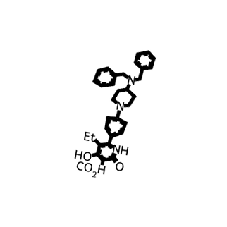 CCc1c(-c2ccc(N3CCC(N(Cc4ccccc4)Cc4ccccc4)CC3)cc2)[nH]c(=O)c(C(=O)O)c1O